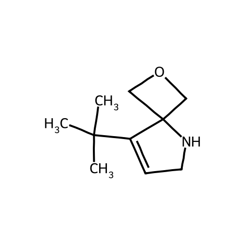 CC(C)(C)C1=CCNC12COC2